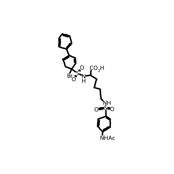 CC(=O)Nc1ccc(S(=O)(=O)NCCCCC(NS(=O)(=O)C2(Br)C=CC(c3ccccc3)=CC2)C(=O)O)cc1